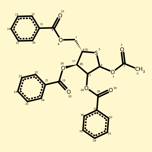 CC(=O)OC1S[C@@H](COC(=O)c2ccccc2)[C@H](OC(=O)c2ccccc2)C1OC(=O)c1ccccc1